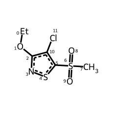 CCOc1nsc(S(C)(=O)=O)c1Cl